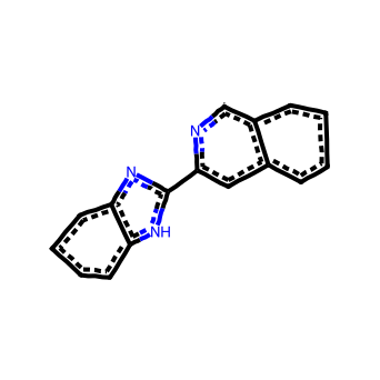 [c]1nc(-c2nc3ccccc3[nH]2)cc2ccccc12